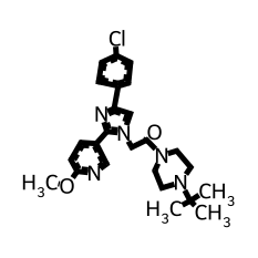 COc1ccc(-c2nc(-c3ccc(Cl)cc3)cn2CC(=O)N2CCN(C(C)(C)C)CC2)cn1